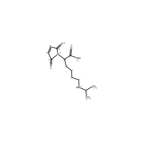 CC(C)NCCCCC(C(=O)O)N1C(=O)C=CC1=O